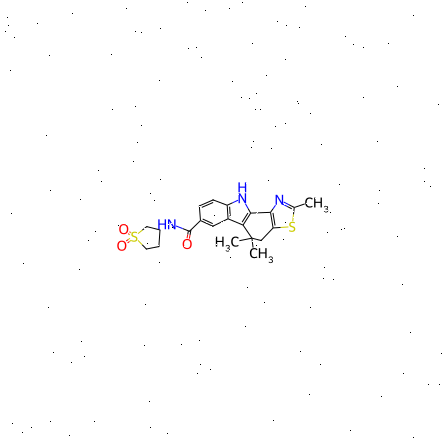 Cc1nc2c(s1)CC(C)(C)c1c-2[nH]c2ccc(C(=O)NC3CCS(=O)(=O)C3)cc12